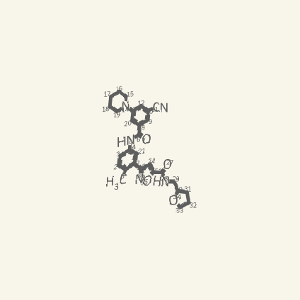 Cc1ccc(NC(=O)c2cc(C#N)cc(N3CCCCC3)c2)cc1-c1cc(C(=O)NCC2CCCO2)on1